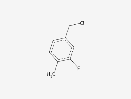 Cc1ccc(CCl)cc1F